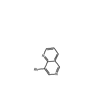 [Rh][c]1cncc2cccnc12